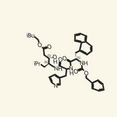 CCC(C)COC(=O)C[C@H](O)[C@H](CC(C)C)NC(=O)C(Cc1cccnc1)NC(=O)[C@H](Cc1cccc2ccccc12)NC(=O)OCc1ccccc1